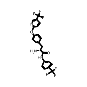 N[C@@H](Cc1ccc(Oc2ccc(C(F)(F)F)cn2)cc1)C(=O)Nc1ccc(C(F)(F)F)cc1